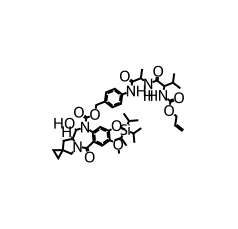 C=CCOC(=O)NC(C(=O)NC(C)C(=O)Nc1ccc(COC(=O)N2c3cc(O[Si](C(C)C)(C(C)C)C(C)C)c(OC)cc3C(=O)N3CC4(CC4)C[C@H]3[C@@H]2O)cc1)C(C)C